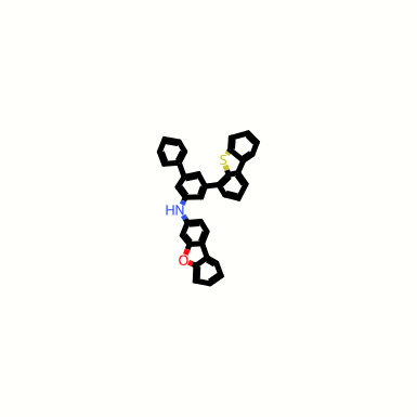 c1ccc(-c2cc(Nc3ccc4c(c3)oc3ccccc34)cc(-c3cccc4c3sc3ccccc34)c2)cc1